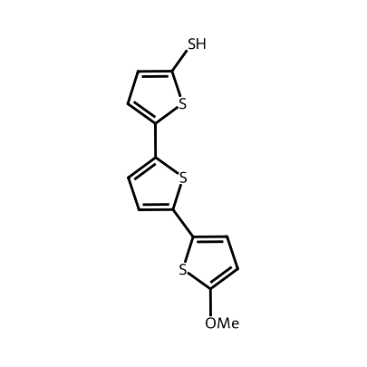 COc1ccc(-c2ccc(-c3ccc(S)s3)s2)s1